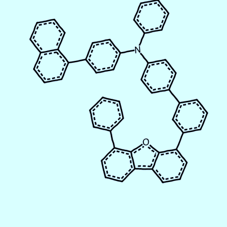 c1ccc(-c2cccc3c2oc2c(-c4cccc(-c5ccc(N(c6ccccc6)c6ccc(-c7cccc8ccccc78)cc6)cc5)c4)cccc23)cc1